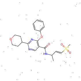 CC(/C=C/S(C)(=O)=O)NC(=O)c1cnc(C2CCOCC2)nc1Oc1ccccc1